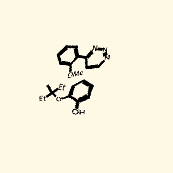 CCC(C)(CC)Oc1ccccc1O.COc1ccccc1-c1ccnnn1